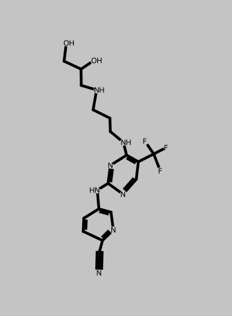 N#Cc1ccc(Nc2ncc(C(F)(F)F)c(NCCCNCC(O)CO)n2)cn1